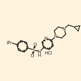 CC(C)c1ccc(S(=O)(=O)Nc2ccc(N3CCN(CC4CC4)CC3)nc2)cc1.Cl